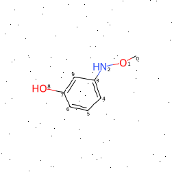 CONc1cccc(O)c1